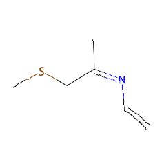 C=CN=C(C)CSC